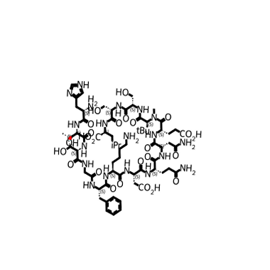 CC(C)C[C@H](NC(=O)[C@H](CO)NC(=O)[C@H](CO)NC(=O)[C@@H](N(C)C(=O)[C@H](CCC(=O)O)NC(=O)[C@H](CC(N)=O)NC(=O)[C@H](CCC(N)=O)NC(=O)[C@H](CC(=O)O)NC(=O)[C@H](CCCCN)NC(=O)[C@H](Cc1ccccc1)NC(=O)CNC(=O)[C@@H](NC(=O)[C@@H](NC(=O)[C@@H](N)Cc1c[nH]cn1)[C@@H](C)O)[C@@H](C)O)C(C)(C)C)C(=O)O